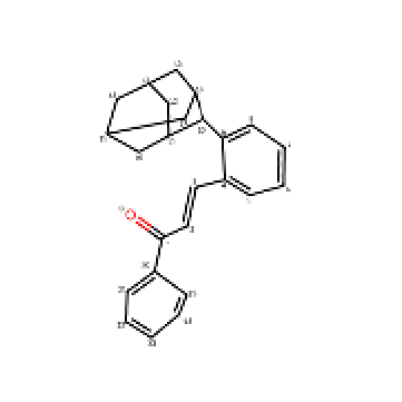 O=C(C=Cc1ccccc1C1C2CC3CC(C2)CC1C3)c1ccccc1